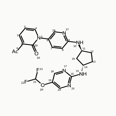 CC(=O)c1cccn(-c2ccc(N[C@H]3CC[C@H](Nc4ncc(OC(F)F)cn4)C3)nc2)c1=O